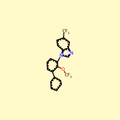 FC(F)(F)Oc1c(-c2ccccc2)cccc1-n1cnc2cc(C(F)(F)F)ccc21